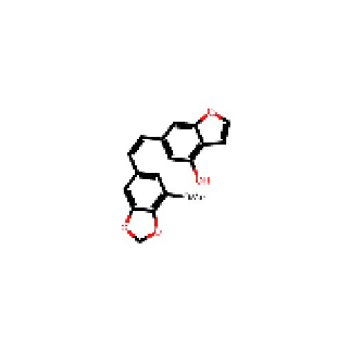 COc1cc(/C=C\c2cc(O)c3ccoc3c2)cc2c1OCO2